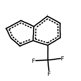 FC(F)(F)c1cc[c]c2ccccc12